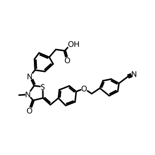 CN1C(=O)C(=Cc2ccc(OCc3ccc(C#N)cc3)cc2)SC1=Nc1ccc(CC(=O)O)cc1